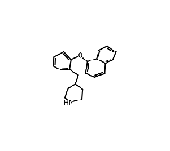 c1ccc(Oc2cccc3ccccc23)c(CC2CCNCC2)c1